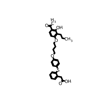 CCCc1c(OCCCCOc2ccc(Sc3ccccc3CC(=O)O)cc2)ccc(C(C)=O)c1O